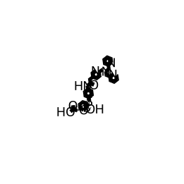 O=C(O)C[C@@H]1CC[C@H](Sc2ccc(NC(=O)Cc3ccc(CN(Cc4ccccn4)Cc4ccccn4)nc3)cc2)B(O)O1